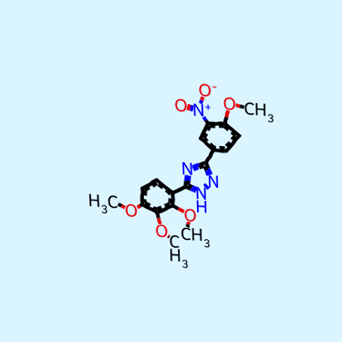 COc1ccc(-c2n[nH]c(-c3ccc(OC)c(OC)c3OC)n2)cc1[N+](=O)[O-]